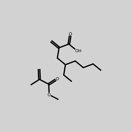 C=C(C)C(=O)OC.C=C(CC(CC)CCCC)C(=O)O